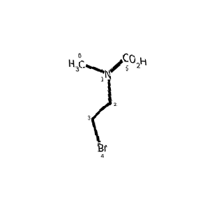 CN(CCBr)C(=O)O